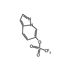 O=S(=O)(Oc1ccc2ccnn2c1)C(F)(F)F